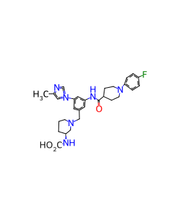 Cc1cn(-c2cc(CN3CCC[C@H](NC(=O)O)C3)cc(NC(=O)C3CCN(c4ccc(F)cc4)CC3)c2)cn1